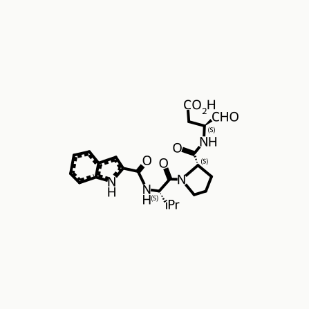 CC(C)[C@H](NC(=O)c1cc2ccccc2[nH]1)C(=O)N1CCC[C@H]1C(=O)N[C@H](C=O)CC(=O)O